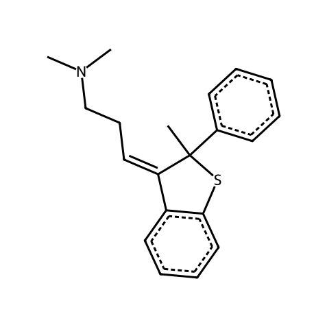 CN(C)CC/C=C1/c2ccccc2SC1(C)c1ccccc1